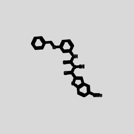 COc1ccc2oc(C(=O)N(S)C(=O)Nc3cccc(OCc4ccccc4)c3)cc2c1